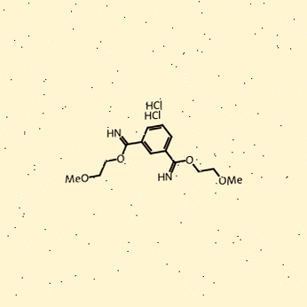 COCCOC(=N)c1cccc(C(=N)OCCOC)c1.Cl.Cl